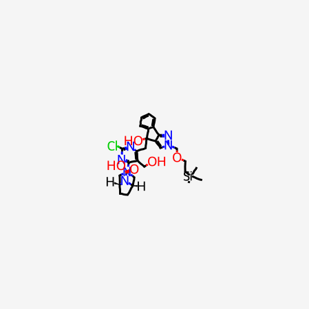 C[Si](C)(C)CCOCn1cc2c(n1)-c1ccccc1C2(O)Cc1nc(Cl)nc(N2C[C@H]3CC[C@@H](C2)N3C(=O)O)c1CO